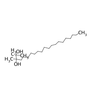 CCCCCCCCCCCCCCCCCCC(C)(O)C(C)(C)O